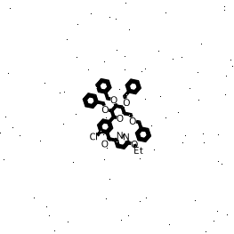 CCOc1ccc(C(=O)c2cc(C3OC(COCc4ccccc4)C(OCc4ccccc4)C(OCc4ccccc4)C3OCc3ccccc3)ccc2Cl)nn1